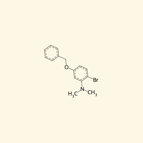 CN(C)c1cc(OCc2ccccc2)ccc1Br